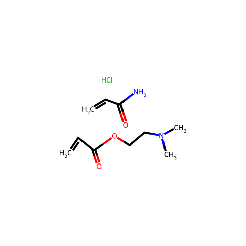 C=CC(=O)OCCN(C)C.C=CC(N)=O.Cl